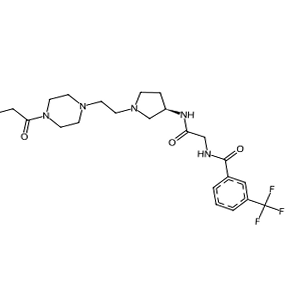 CCC(=O)N1CCN(CCN2CC[C@@H](NC(=O)CNC(=O)c3cccc(C(F)(F)F)c3)C2)CC1